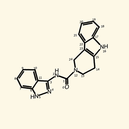 O=C(Nc1n[nH]c2ccccc12)N1CCc2[nH]c3ccccc3c2C1